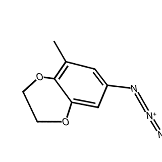 Cc1cc(N=[N+]=[N-])cc2c1OCCO2